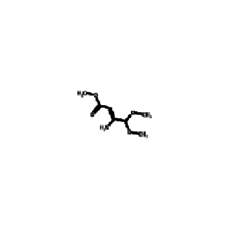 COC(=O)C=C(N)C(OC)OC